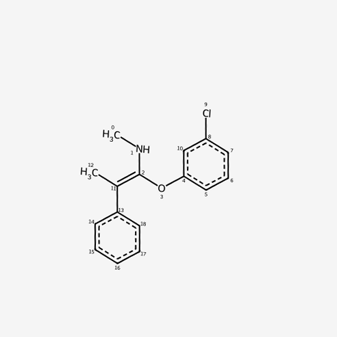 CNC(Oc1cccc(Cl)c1)=C(C)c1ccccc1